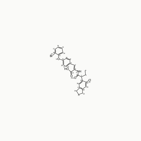 CCC(C(=O)N/C(=C/c1ccc(Oc2ccccc2Br)cc1)C(=O)O)c1cc2c(cc1Cl)CCC2